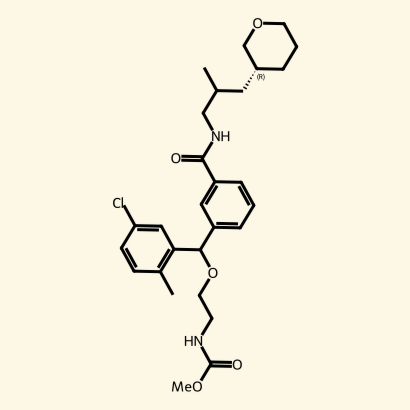 COC(=O)NCCOC(c1cccc(C(=O)NCC(C)C[C@H]2CCCOC2)c1)c1cc(Cl)ccc1C